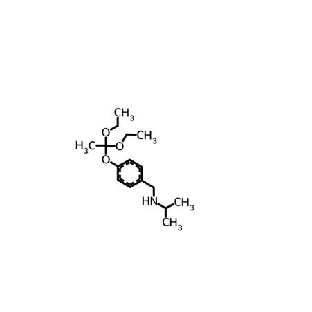 CCOC(C)(OCC)Oc1ccc(CNC(C)C)cc1